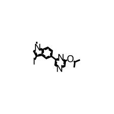 CC(C)Oc1cncc(-c2ccc3c(c2)c(I)cn3C)n1